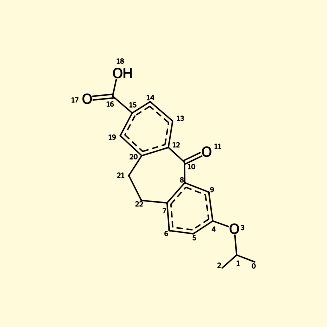 CC(C)Oc1ccc2c(c1)C(=O)c1ccc(C(=O)O)cc1CC2